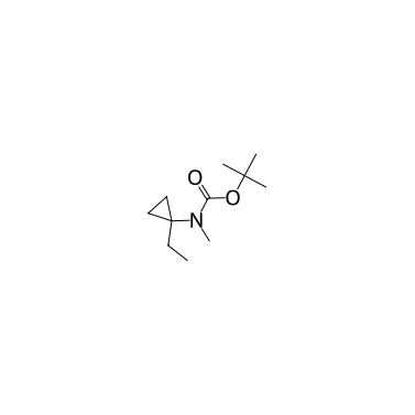 CCC1(N(C)C(=O)OC(C)(C)C)CC1